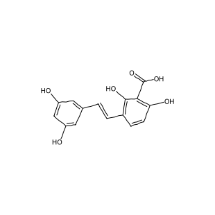 O=C(O)c1c(O)ccc(/C=C/c2cc(O)cc(O)c2)c1O